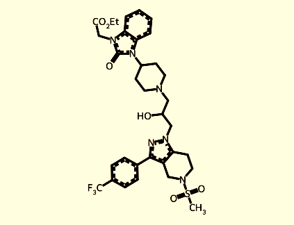 CCOC(=O)Cn1c(=O)n(C2CCN(CC(O)Cn3nc(-c4ccc(C(F)(F)F)cc4)c4c3CCN(S(C)(=O)=O)C4)CC2)c2ccccc21